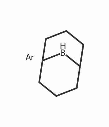 B1C2CCCC1CCC2.[Ar]